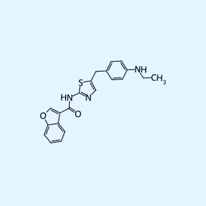 CCNc1ccc(Cc2cnc(NC(=O)c3coc4ccccc34)s2)cc1